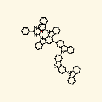 c1ccc(-c2nc(-c3ccccc3)nc(-n3c4ccccc4c4cc(-c5ccc6c7ccccc7n(-c7ccc8sc9ccc(-n%10c%11ccccc%11c%11ccccc%11%10)cc9c8c7)c6c5)c5c6ccccc6n(-c6ccccc6)c5c43)n2)cc1